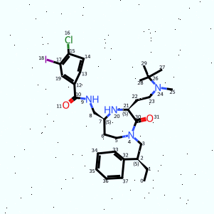 CC[C@H](CN1CC[C@@H](CNC(=O)c2ccc(Cl)c(I)c2)N[C@@H](CCN(C)C(C)(C)C)C1=O)c1ccccc1